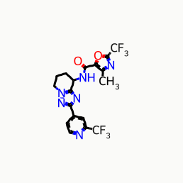 Cc1nc(C(F)(F)F)oc1C(=O)NC1CCCn2nc(-c3ccnc(C(F)(F)F)c3)nc21